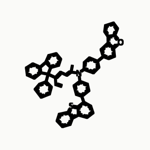 C=C/C(=C\C=C(/C)N(c1ccc(-c2ccc3oc4ccccc4c3c2)cc1)c1ccc(-c2cccc3c2sc2ccccc23)cc1)C1(c2ccccc2)c2ccccc2-c2ccccc21